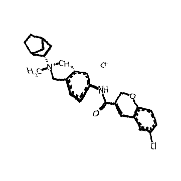 C[N+](C)(Cc1ccc(NC(=O)C2=Cc3cc(Cl)ccc3OC2)cc1)[C@H]1CC2CCC1C2.[Cl-]